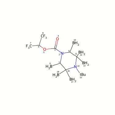 BC1N(C(=O)OC(C(F)(F)F)C(F)(F)F)C(B)C(B)(B)N(C(C)(C)C)C1(B)B